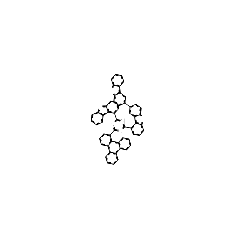 c1ccc2c(c1)oc1ccc(-c3ccc4oc5cccc(-c6nc(-c7cccc8oc9ccccc9c78)nc(-c7cccc8c9ccccc9c9ccccc9c78)n6)c5c4c3)cc12